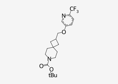 CC(C)(C)OC(=O)N1CCC2(CC1)CC(COc1ccc(C(F)(F)F)nc1)C2